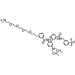 CCN(CC)c1ccc(NC(=O)c2cccc(CCCOCCOCCOCCOCCN)c2)c(-c2cc(C(=O)NCc3cccc(C(F)(F)F)c3)ccn2)c1